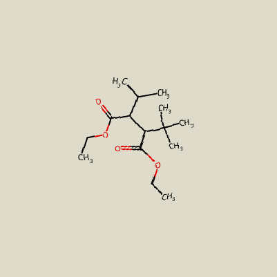 CCOC(=O)C(C(C)C)C(C(=O)OCC)C(C)(C)C